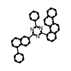 c1ccc(-c2nc(-c3ccc4c(-c5ccccc5)cccc4c3)nc(-c3cccc4ccc5c6ccccc6ccc5c34)n2)cc1